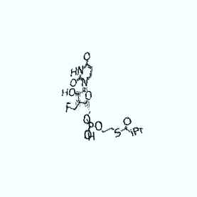 CC(C)C(=O)SCCO[PH](=O)OC[C@H]1O[C@@H](n2ccc(=O)[nH]c2=O)[C@H](O)[C@@H]1CF